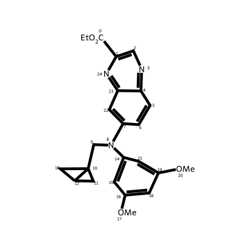 CCOC(=O)c1cnc2ccc(N(CC34CC3C4)c3cc(OC)cc(OC)c3)cc2n1